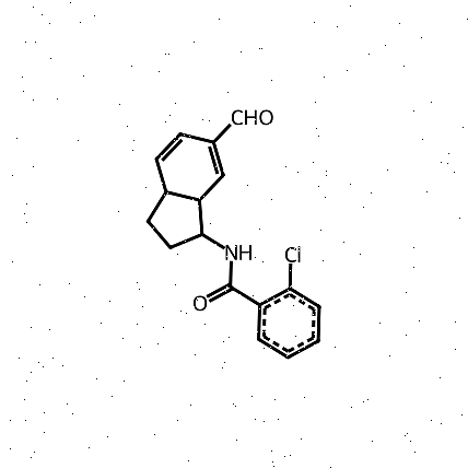 O=CC1=CC2C(C=C1)CCC2NC(=O)c1ccccc1Cl